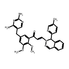 COc1cc(Cc2cnc(N)nc2N)cc(C(=O)/C=C/N2N=Cc3ccccc3C2c2ccc(C)cn2)c1OC